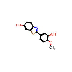 COc1ccc(-c2nc3ccc(O)cc3s2)cc1O